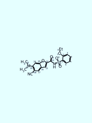 CCOc1ccccc1S(=O)(=O)NC(=O)c1cc2cc(C#N)c(N(C)C)cc2o1